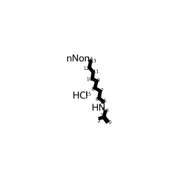 C=C(C)CNCCCCCCCCCCCCCCCCCC.Cl